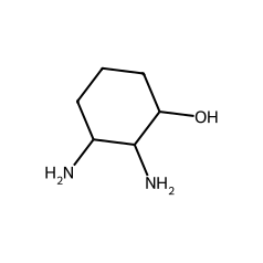 NC1CCCC(O)C1N